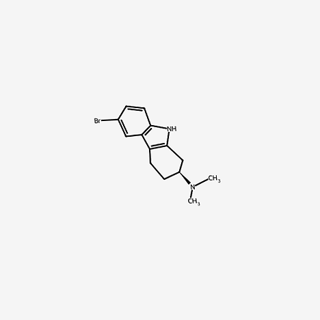 CN(C)[C@H]1CCc2c([nH]c3ccc(Br)cc23)C1